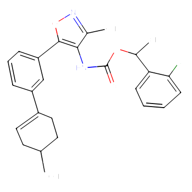 Cc1noc(-c2cccc(C3=CCC(C(=O)O)CC3)c2)c1NC(=O)OC(C)c1ccccc1Cl